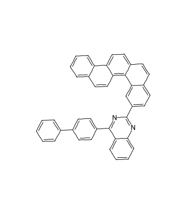 c1ccc(-c2ccc(-c3nc(-c4ccc5ccc6ccc7c8ccccc8ccc7c6c5c4)nc4ccccc34)cc2)cc1